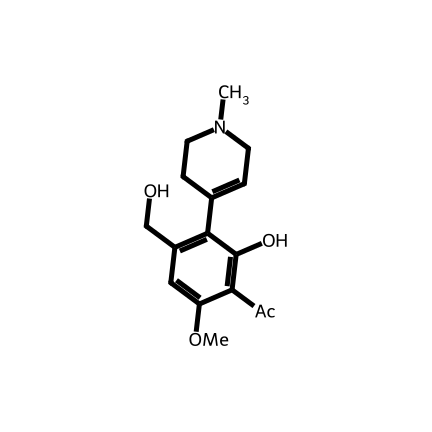 COc1cc(CO)c(C2=CCN(C)CC2)c(O)c1C(C)=O